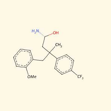 COc1ccccc1CC(C)(C[C@H](N)O)c1ccc(C(F)(F)F)cc1